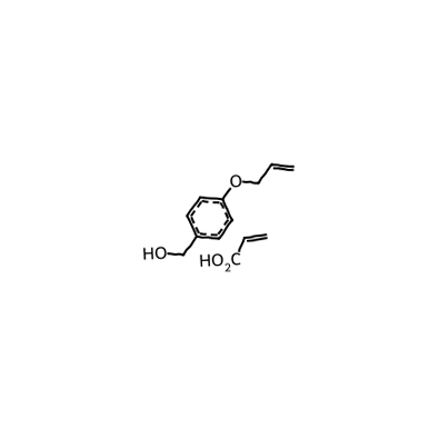 C=CC(=O)O.C=CCOc1ccc(CO)cc1